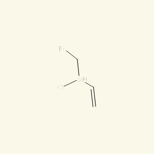 C=C[SiH](Cl)CCC